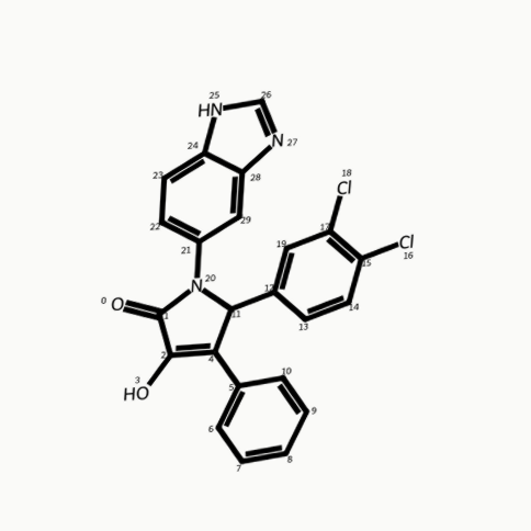 O=C1C(O)=C(c2ccccc2)C(c2ccc(Cl)c(Cl)c2)N1c1ccc2[nH]cnc2c1